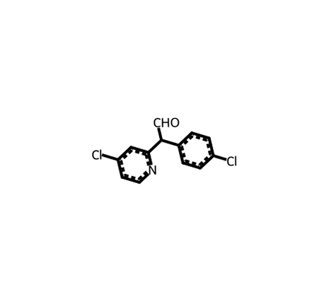 O=CC(c1ccc(Cl)cc1)c1cc(Cl)ccn1